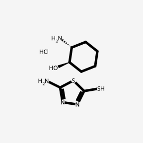 Cl.N[C@@H]1CCCC[C@H]1O.Nc1nnc(S)s1